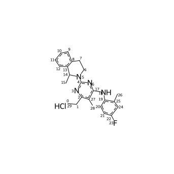 CCc1nc(N2CCc3ccccc3C2C)nc(Nc2ccc(F)cc2C)c1C.Cl